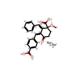 COC1(C(=O)[O-])CCC(=O)C(=Cc2ccc(C(=O)[O-])cc2)C1=Cc1ccccc1.[Na+].[Na+]